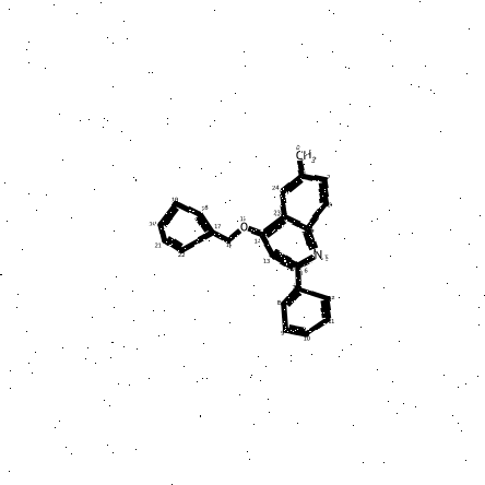 Cc1ccc2nc(-c3ccccc3)cc(OCc3ccccc3)c2c1